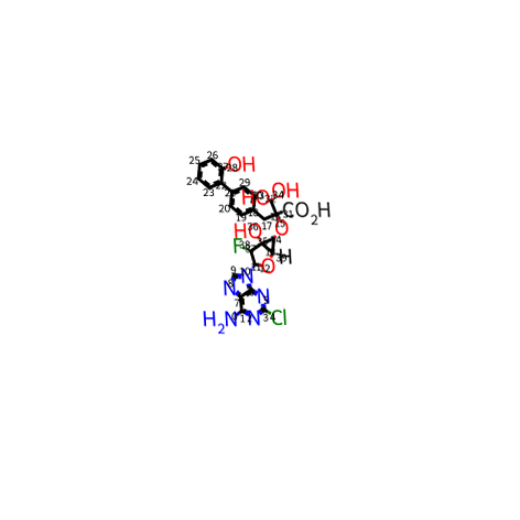 Nc1nc(Cl)nc2c1ncn2[C@@H]1O[C@@H]2C(OC(Cc3ccc(-c4ccccc4O)cc3)(C(=O)O)C(O)O)[C@]2(O)[C@@H]1F